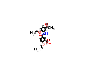 CCCOc1ccc(C(=O)Nc2cc(C(C)=O)ccc2OCC)cc1C(=O)O